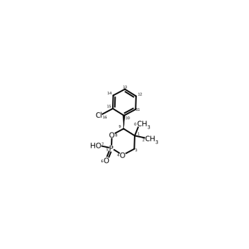 CC1(C)COP(=O)(O)O[C@H]1c1ccccc1Cl